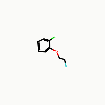 FCCOc1c[c]ccc1Cl